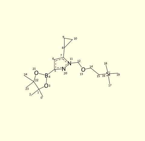 CC1(C)OB(c2cc(C3CC3)n(COCC[Si](C)(C)C)n2)OC1(C)C